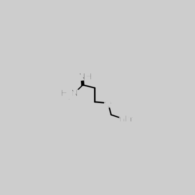 CCCCOCCC(=N)N